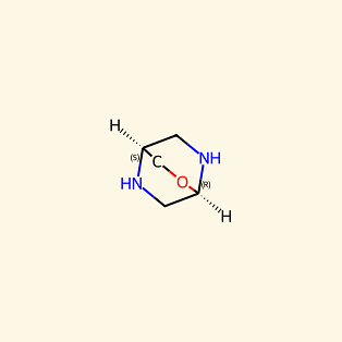 C1N[C@H]2CN[C@@H]1CO2